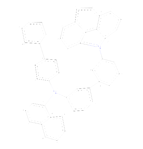 c1ccc(-c2ccc(N(c3cccc(-c4cccc(-n5c6cccc7ccc8cccc5c8c76)c4)c3)c3cccc4ccccc34)cc2)cc1